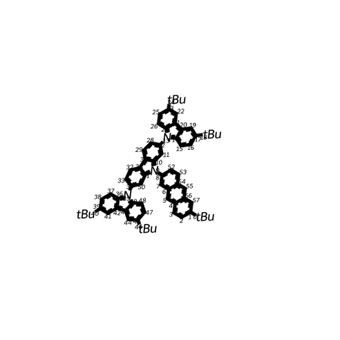 CC(C)(C)c1ccc2cc3cc(-n4c5cc(-n6c7ccc(C(C)(C)C)cc7c7cc(C(C)(C)C)ccc76)ccc5c5ccc(-n6c7ccc(C(C)(C)C)cc7c7cc(C(C)(C)C)ccc76)cc54)ccc3cc2c1